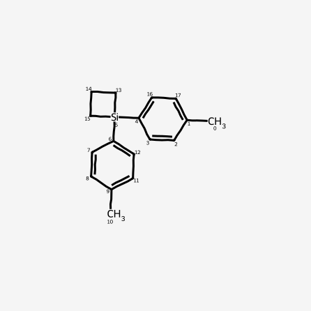 Cc1ccc([Si]2(c3ccc(C)cc3)CCC2)cc1